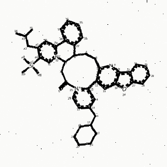 C=C1CC2C(CCc3nc4c(cc3-c3cc(CC5CCCCC5)cc[n+]31)oc1ccccc14)c1ccccc1-c1cc(CC(C)C)c([Si](C)(C)C)c[n+]12